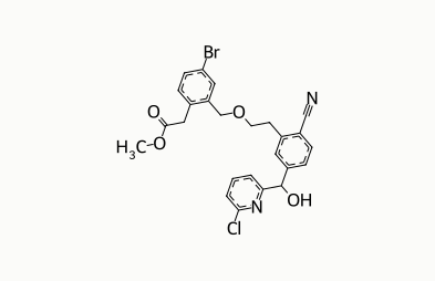 COC(=O)Cc1ccc(Br)cc1COCCc1cc(C(O)c2cccc(Cl)n2)ccc1C#N